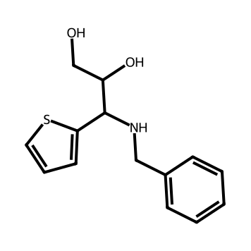 OCC(O)C(NCc1ccccc1)c1cccs1